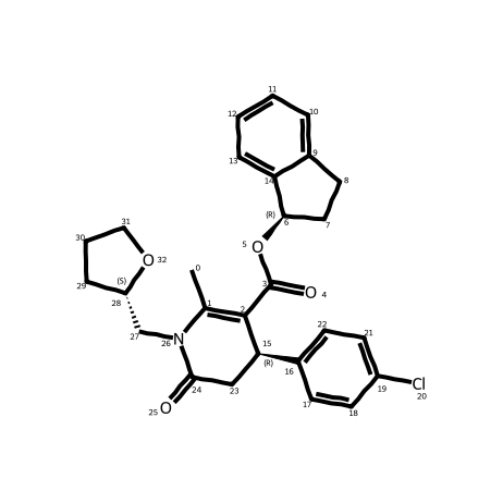 CC1=C(C(=O)O[C@@H]2CCc3ccccc32)[C@@H](c2ccc(Cl)cc2)CC(=O)N1C[C@@H]1CCCO1